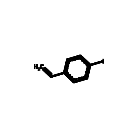 C=Cc1ccc(I)cc1